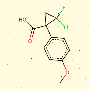 COc1ccc(C2(C(=O)O)CC2(F)Cl)cc1